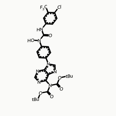 CC(C)(C)OC(=O)N(C(=O)OC(C)(C)C)c1ncnc2c1ncn2-c1ccc(N(O)C(=O)Nc2ccc(Cl)c(C(F)(F)F)c2)cc1